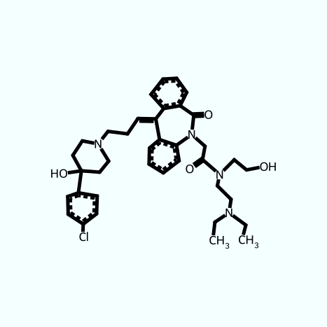 CCN(CC)CCN(CCO)C(=O)CN1C(=O)c2ccccc2/C(=C/CCN2CCC(O)(c3ccc(Cl)cc3)CC2)c2ccccc21